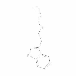 NCCNCCc1c[nH]c2ccccc12